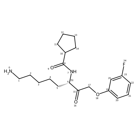 NCCCCC[C@H](NC(=O)C1CCCC1)C(=O)COc1cccc(F)c1